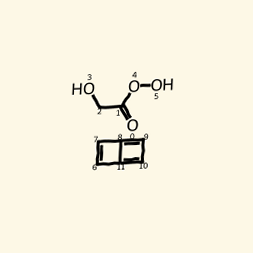 O=C(CO)OO.c1cc2ccc1-2